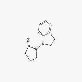 O=C1CCCN1N1CCc2ccccc21